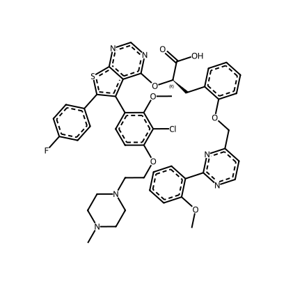 COc1ccccc1-c1nccc(COc2ccccc2C[C@@H](Oc2ncnc3sc(-c4ccc(F)cc4)c(-c4ccc(OCCN5CCN(C)CC5)c(Cl)c4OC)c23)C(=O)O)n1